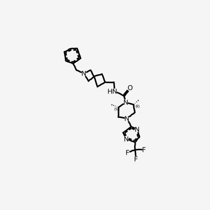 C[C@@H]1CN(c2cnc(C(F)(F)F)cn2)C[C@H](C)N1C(=O)NCC1CC2(C1)CN(Cc1ccccc1)C2